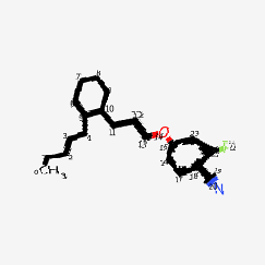 CCCCCC1CCCCC1CCCOc1ccc(C#N)c(F)c1